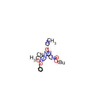 CC(C#N)C1CN(c2nc(OC[C@@H]3CCN(C)C3)nc3c2CCN(C(=O)OC(C)(C)C)C3)CCN1C(=O)OCc1ccccc1